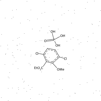 CCOC(=O)c1c(Cl)ccc(Cl)c1OC.O=P(O)(O)O